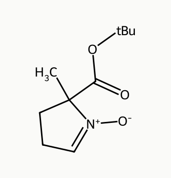 CC(C)(C)OC(=O)C1(C)CCC=[N+]1[O-]